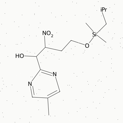 Cc1cnc(C(O)C(CCO[Si](C)(C)CC(C)C)[N+](=O)[O-])nc1